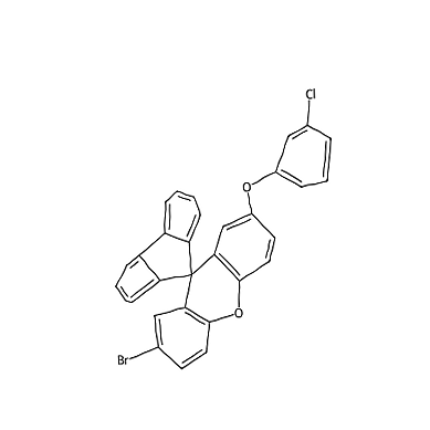 Clc1cccc(Oc2ccc3c(c2)C2(c4cc(Br)ccc4O3)c3ccccc3-c3ccccc32)c1